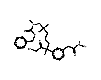 CCNC(=O)Cc1cccc(C(C)(CCCC(C)(C)CN(C)C(=O)OCc2ccccc2)C(=O)CBr)c1